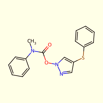 CN(C(=O)On1cc(Sc2ccccc2)cn1)c1ccccc1